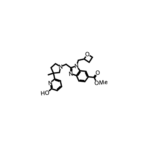 COC(=O)c1ccc2nc(CN3CCC(C)(c4cccc(O)n4)C3)n(CC3CCO3)c2c1